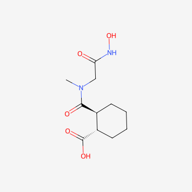 CN(CC(=O)NO)C(=O)[C@H]1CCCC[C@@H]1C(=O)O